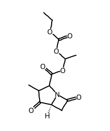 CCOC(=O)OC(C)OC(=O)C1C(C)C(=O)[C@@H]2CC(=O)N12